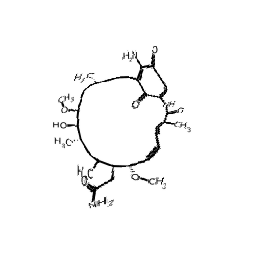 CO[C@H]1/C=C\C=C(/C)C(=O)NC2=CC(=O)C(N)=C(C[C@@H](C)C[C@H](OC)[C@H](O)[C@@H](C)CC(C)[C@@H]1CC(N)=O)C2=O